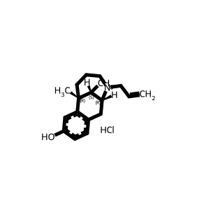 C=CCN1CCC[C@@]2(C)c3cc(O)ccc3C[C@@H]1[C@H]2C.Cl